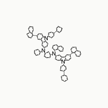 c1ccc(-c2ccc(-n3c4ccc(-c5cccc6ccccc56)cc4c4cc(N(c5ccccc5)c5cccc(N(c6ccc7c(c6)c6cc(-c8cccc9ccccc89)ccc6n7-c6ccc(-c7ccccc7)cc6)c6cccc7ccccc67)c5)ccc43)cc2)cc1